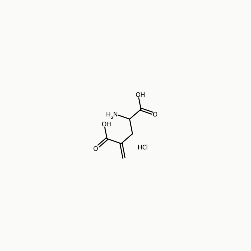 C=C(CC(N)C(=O)O)C(=O)O.Cl